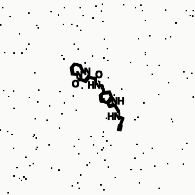 C#CCNCc1cc2ccc(CNC(=O)c3cc(=O)n4c(n3)CCC=C4)cc2[nH]1